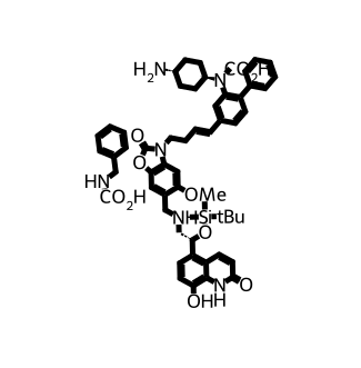 COc1cc2c(cc1CNC[C@H](O[Si](C)(C)C(C)(C)C)c1ccc(O)c3[nH]c(=O)ccc13)oc(=O)n2CCC=Cc1ccc(-c2ccccc2)c(N(C(=O)O)[C@H]2CC[C@H](N)CC2)c1.O=C(O)NCc1ccccc1